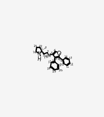 C[C@@]1(CCNc2coc(-c3ccccc3)c2-c2ccccc2)CCCN1